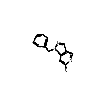 Clc1cc2c(cn1)cnn2Cc1ccccc1